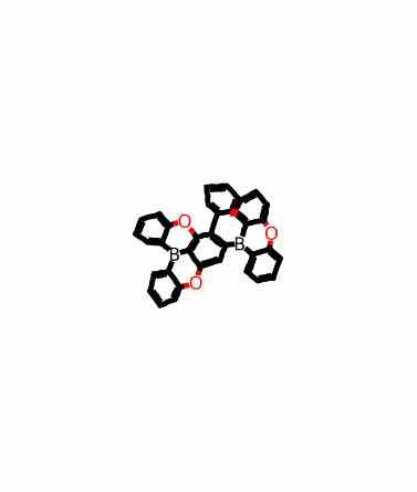 c1ccc(-c2c(B3c4ccccc4Oc4ccccc43)cc3c4c2Oc2ccccc2B4c2ccccc2O3)cc1